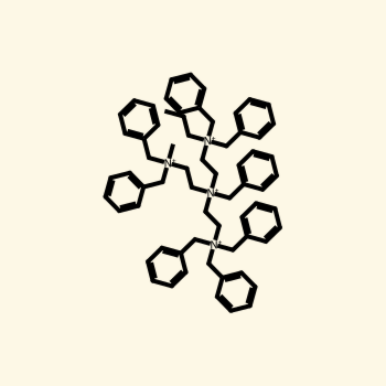 CCC[N+](CC[N+](CC[N+](C)(Cc1ccccc1)Cc1ccccc1)(CC[N+](Cc1ccccc1)(Cc1ccccc1)Cc1ccccc1)Cc1ccccc1)(Cc1ccccc1)Cc1ccccc1